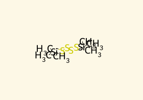 C[Si](C)(C)CSSSSC[Si](C)(C)C